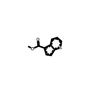 COC(=O)c1ccc2scccc1-2